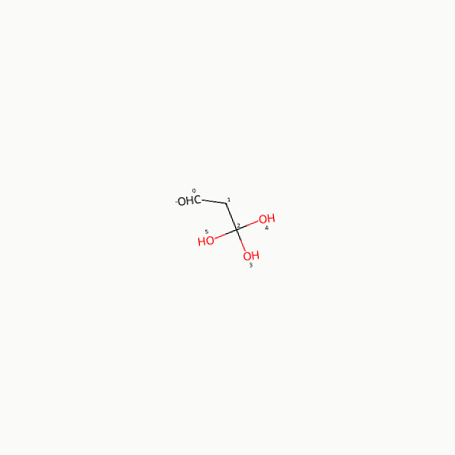 O=[C]CC(O)(O)O